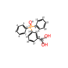 O=P(c1ccccc1)(c1ccccc1)c1cccc(B(O)O)c1